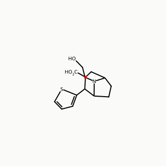 O=C(O)C1CC2CCC(C1c1cccs1)N2CCO